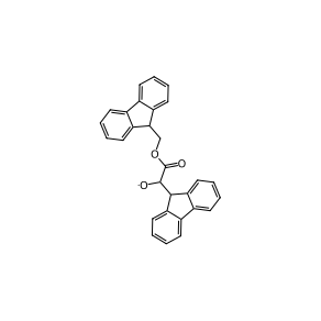 [O]C(C(=O)OCC1c2ccccc2-c2ccccc21)C1c2ccccc2-c2ccccc21